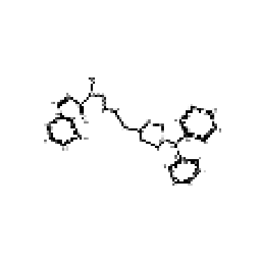 CCN(CCCCC1CCN(C(c2ccccc2)c2ccccc2)CC1)C(=O)/C=C\c1cccnc1